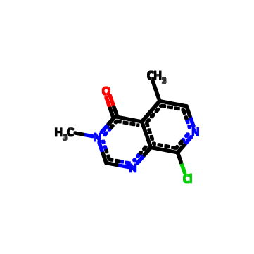 Cc1cnc(Cl)c2ncn(C)c(=O)c12